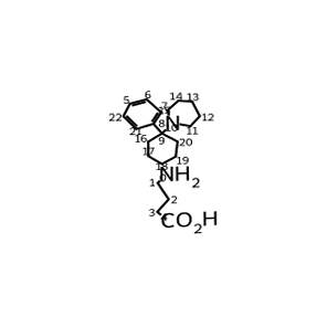 NCCCC(=O)O.c1ccc(C2(N3CCCCC3)CCCCC2)cc1